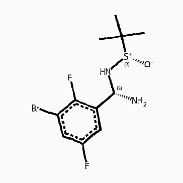 CC(C)(C)[S@+]([O-])N[C@H](N)c1cc(F)cc(Br)c1F